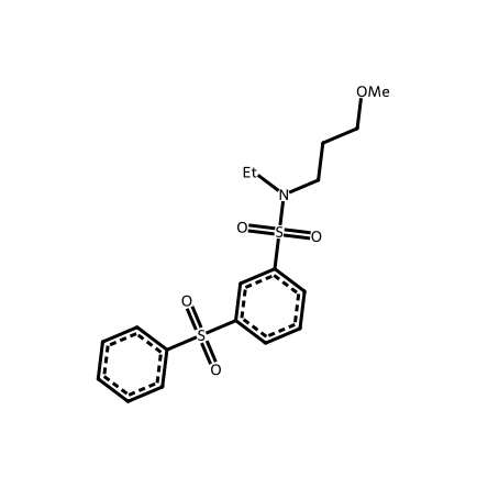 CCN(CCCOC)S(=O)(=O)c1cccc(S(=O)(=O)c2ccccc2)c1